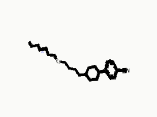 CCC/C=C/CCOCCCCC1CCC(c2ccc(C#N)cc2)CC1